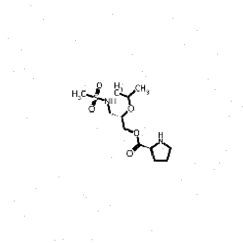 CC(C)O[C@@H](CNS(C)(=O)=O)COC(=O)[C@@H]1CCCN1